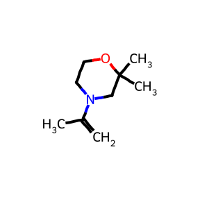 C=C(C)N1CCOC(C)(C)C1